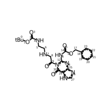 CC(C)(C)OC(=O)NCCNCC(=O)n1c(NC(=O)OCc2ccccc2)nc2nc[nH]c2c1=O